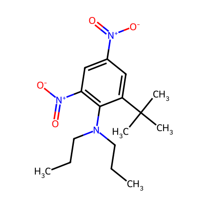 CCCN(CCC)c1c([N+](=O)[O-])cc([N+](=O)[O-])cc1C(C)(C)C